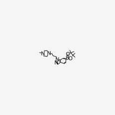 CN1CCN(CCCn2ncc3ccc(B4OC(C)(C)C(C)(C)O4)cc32)CC1